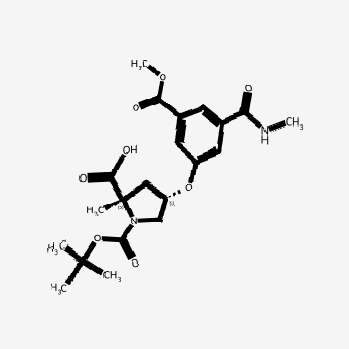 CNC(=O)c1cc(O[C@@H]2CN(C(=O)OC(C)(C)C)[C@](C)(C(=O)O)C2)cc(C(=O)OC)c1